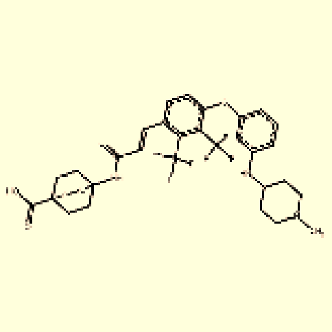 CN1CCC(Nc2cccc(Sc3ccc(/C=C/C(=O)NC45CCC(C(=O)O)(CC4)CC5)c(C(F)(F)F)c3C(F)(F)F)c2)CC1